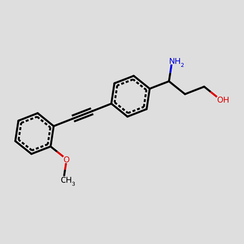 COc1ccccc1C#Cc1ccc(C(N)CCO)cc1